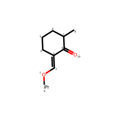 CC(C)OC=C1CCCC(C)C1=O